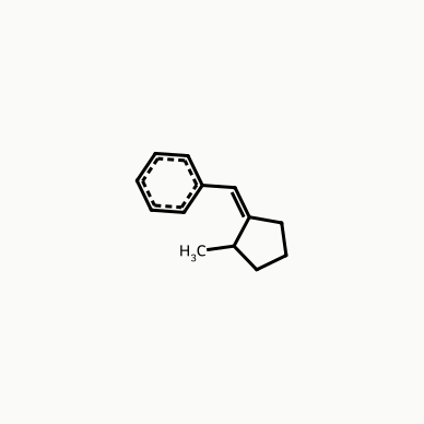 CC1CCCC1=Cc1ccccc1